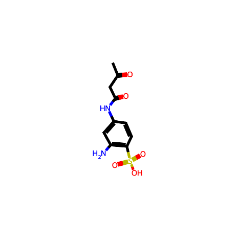 CC(=O)CC(=O)Nc1ccc(S(=O)(=O)O)c(N)c1